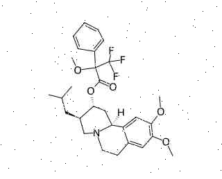 COc1cc2c(cc1OC)[C@@H]1C[C@@H](OC(=O)C(OC)(c3ccccc3)C(F)(F)F)[C@H](CC(C)C)CN1CC2